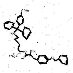 COc1ccc(C(NCCCC[C@H](NC(=O)[C@@H](N)Cc2ccc(OCc3ccccc3)cc2)C(=O)O)(c2ccccc2)c2ccccc2)cc1